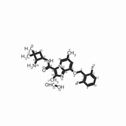 Cc1cc(OCc2c(F)cccc2F)c2nc(C)c(C(=O)NC3CC(C)(C)C3N)n2c1.O=CO